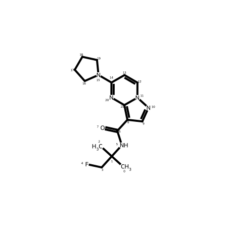 CC(C)(CF)NC(=O)c1cnn2ccc(N3CCCC3)nc12